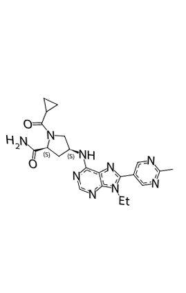 CCn1c(-c2cnc(C)nc2)nc2c(N[C@H]3C[C@@H](C(N)=O)N(C(=O)C4CC4)C3)ncnc21